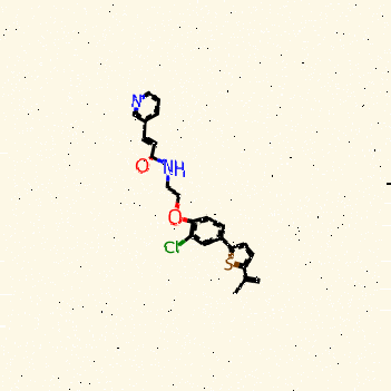 C=C(C)c1ccc(-c2ccc(OCCNC(=O)C=Cc3cccnc3)c(Cl)c2)s1